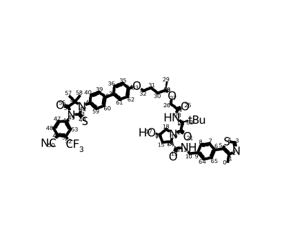 Cc1ncsc1-c1ccc(CNC(=O)[C@@H]2C[C@@H](O)CN2C(=O)[C@@H](NC(=O)CO[C@H](C)CCCOc2ccc(-c3ccc(N4C(=S)N(c5ccc(C#N)c(C(F)(F)F)c5)C(=O)C4(C)C)cc3)cc2)C(C)(C)C)cc1